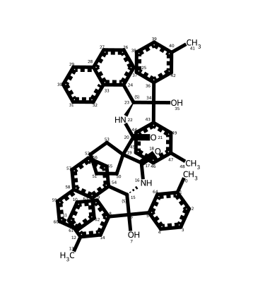 Cc1cccc(C(O)(c2cccc(C)c2)[C@@H](NC(=O)C2(C(=O)N[C@@H](c3cccc4ccccc34)C(O)(c3cccc(C)c3)c3cccc(C)c3)CCCC2)c2cccc3ccccc23)c1